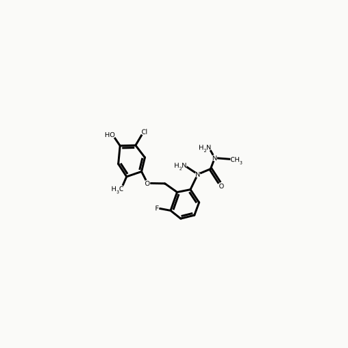 Cc1cc(O)c(Cl)cc1OCc1c(F)cccc1N(N)C(=O)N(C)N